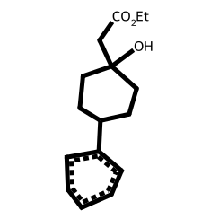 CCOC(=O)CC1(O)CCC(c2ccccc2)CC1